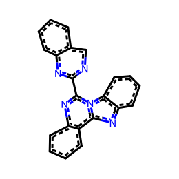 c1ccc2nc(-c3nc4ccccc4c4nc5ccccc5n34)ncc2c1